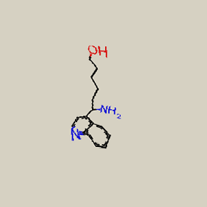 NC(CCCCCO)c1ccnc2ccccc12